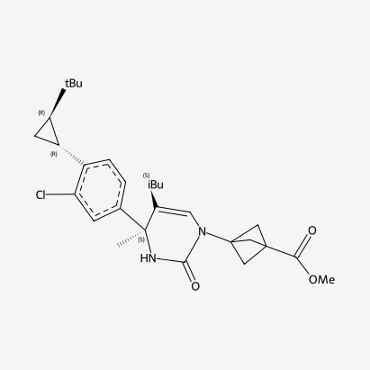 CC[C@H](C)C1=CN(C23CC(C(=O)OC)(C2)C3)C(=O)N[C@@]1(C)c1ccc([C@@H]2C[C@H]2C(C)(C)C)c(Cl)c1